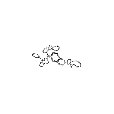 c1ccc(-n2c3ccccc3c3ccc(N(c4ccc5cc(-c6ccc7c(c6)sc6ccccc67)ccc5c4)c4cccc5oc6ccccc6c45)cc32)cc1